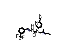 CC/C=C(\C)CN(C(=O)N/C=C/c1cccc(C(F)(F)F)c1)c1ccc(C#N)nc1